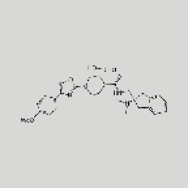 COc1ccc(-c2noc(N3CCC(C(=O)NCC4(N(C)C)Cc5ccccc5C4)CC3)n2)cc1.O=CO